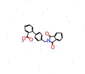 COC(=O)c1ccccc1-c1ccc(CN2C(=O)c3ccccc3C2=O)cc1